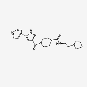 O=C(NCCN1CCCC1)C1CCN(C(=O)c2cc(-c3ccncc3)[nH]n2)CC1